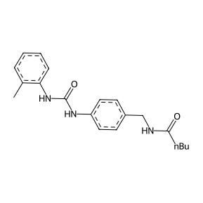 [CH2]CCCC(=O)NCc1ccc(NC(=O)Nc2ccccc2C)cc1